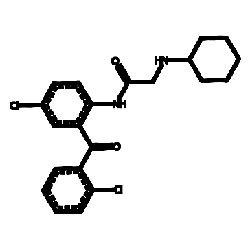 O=C(CNC1CCCCC1)Nc1ccc(Cl)cc1C(=O)c1ccccc1Cl